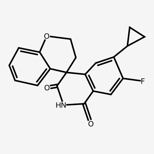 O=C1NC(=O)C2(CCOc3ccccc32)c2cc(C3CC3)c(F)cc21